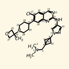 CN(C)CC12CC(n3cc(Nc4ncc5cc(Cl)c(C6CCN(C7(C)COC7)CC6)cc5n4)cn3)(C1)C2